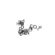 Cc1ccc2c(NS(=O)(=O)CC3CC3)c(F)ccc2c1Oc1ncccc1-c1ccnc(NC2CCCN(C(=O)O)C2)n1